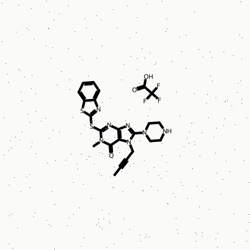 CC#CCn1c(N2CCNCC2)nc2nc(Sc3nc4ccccc4s3)n(C)c(=O)c21.O=C(O)C(F)(F)F